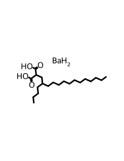 CCCCCCCCCCCCC(CCCC)CC(C(=O)O)C(=O)O.[BaH2]